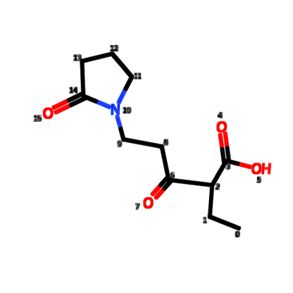 CCC(C(=O)O)C(=O)CCN1CCCC1=O